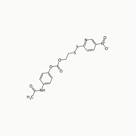 CC(=O)Nc1ccc(OC(=O)OCCSSc2ccc([N+](=O)[O-])cn2)cc1